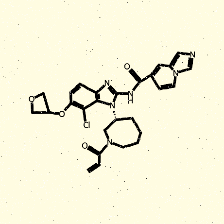 C=CC(=O)N1CCCC[C@@H](n2c(NC(=O)c3ccn4cncc4c3)nc3ccc(OC4COC4)c(Cl)c32)C1